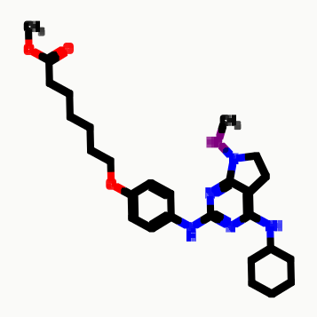 COC(=O)CCCCCCOc1ccc(Nc2nc(NC3CCCCC3)c3c(n2)N(PC)CC3)cc1